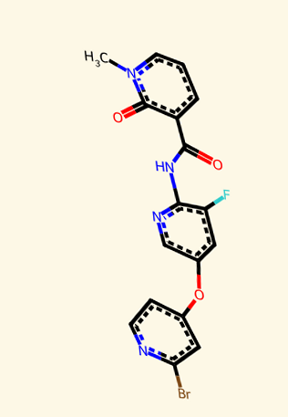 Cn1cccc(C(=O)Nc2ncc(Oc3ccnc(Br)c3)cc2F)c1=O